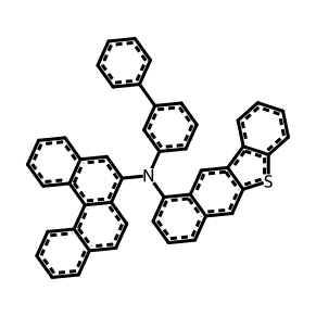 c1ccc(-c2cccc(N(c3cccc4cc5sc6ccccc6c5cc34)c3cc4ccccc4c4c3ccc3ccccc34)c2)cc1